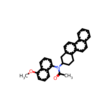 COc1cccc2c(N(C(C)=O)C3CCc4c(ccc5c4ccc4ccccc45)C3)cccc12